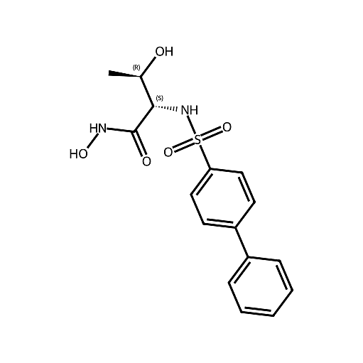 C[C@@H](O)[C@H](NS(=O)(=O)c1ccc(-c2ccccc2)cc1)C(=O)NO